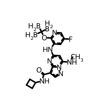 BC(B)(B)Oc1ncc(F)cc1Nc1cc(NC)n2ncc(C(=O)NC3CCC3)c2n1